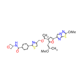 C=C(OCc1csc(-c2ccc(C(=O)NC3COC3)cc2)n1)c1cc(-c2cn3nc(OC)sc3n2)oc1/C=C(\C)OC